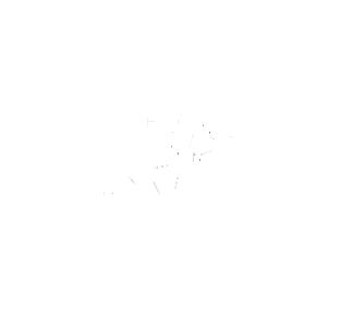 CC1=C(c2cccc(Nc3ncc(C4CC4)nc3C(=O)O)c2OCC(F)(F)F)CCOC1